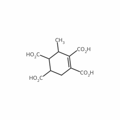 CC1C(C(=O)O)=C(C(=O)O)CC(C(=O)O)C1C(=O)O